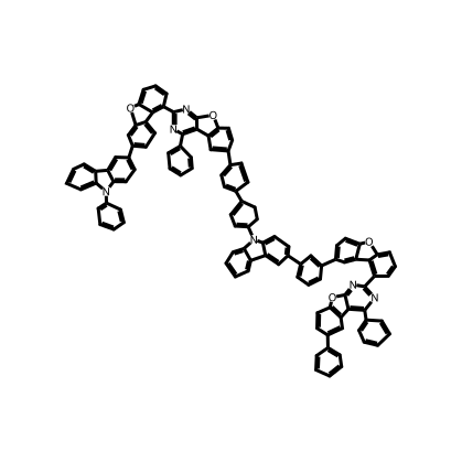 C1=C(c2ccc(-c3ccc4oc5nc(-c6cccc7oc8cc(-c9ccc%10c(c9)c9ccccc9n%10-c9ccccc9)ccc8c67)nc(-c6ccccc6)c5c4c3)cc2)CCC(n2c3ccccc3c3cc(-c4cccc(-c5ccc6oc7cccc(-c8nc(-c9ccccc9)c9c(n8)oc8ccc(-c%10ccccc%10)cc89)c7c6c5)c4)ccc32)=C1